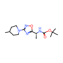 CC1CCN(c2noc([C@H](C)NC(=O)OC(C)(C)C)n2)CC1